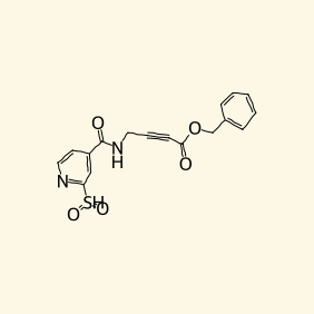 O=C(C#CCNC(=O)c1ccnc([SH](=O)=O)c1)OCc1ccccc1